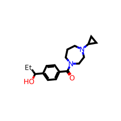 CCC(O)c1ccc(C(=O)N2CCCN(C3CC3)CC2)cc1